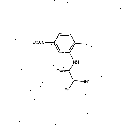 CCOC(=O)c1ccc(N)c(NC(=O)C(CC)C(C)C)c1